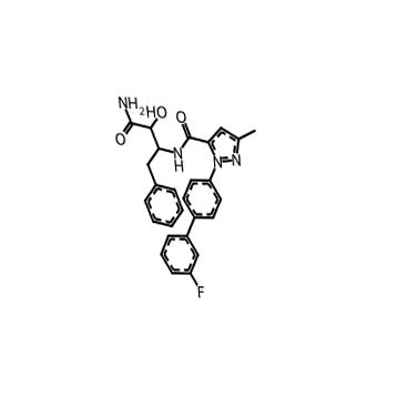 Cc1cc(C(=O)NC(Cc2ccccc2)C(O)C(N)=O)n(-c2ccc(-c3cccc(F)c3)cc2)n1